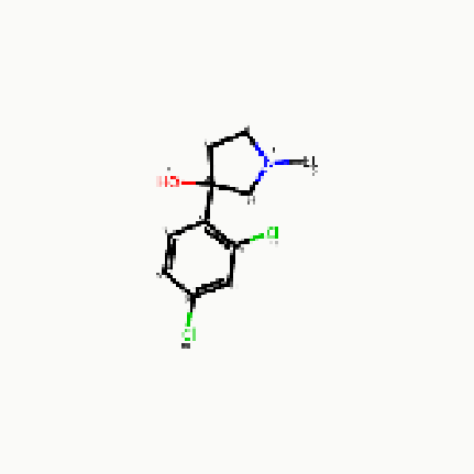 CCN1CCC(O)(c2ccc(Cl)cc2Cl)C1